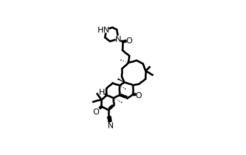 CC1(C)CCC2C(=O)C=C3[C@@]4(C)C=C(C#N)C(=O)C(C)(C)[C@@H]4CC[C@@]3(C)[C@]2(C)CC[C@@](C)(CCC(=O)N2CCNCC2)CC1